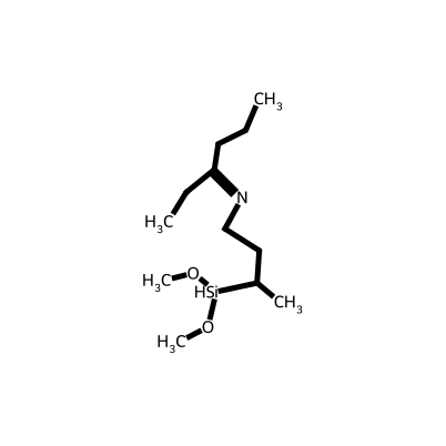 CCCC(CC)=NCCC(C)[SiH](OC)OC